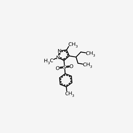 CCC(CC)c1c(C)nn(C)c1S(=O)(=O)c1ccc(C)cc1